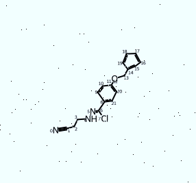 N#CCCNN=C(Cl)c1ccc(OCc2ccccc2)cc1